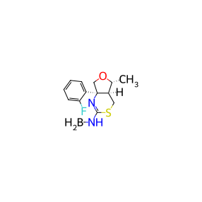 BNC1=N[C@@]2(c3ccccc3F)CO[C@H](C)[C@H]2CS1